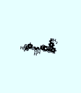 CNS(=O)(=O)c1cccc(OC[C@@H](O)CNC2COC3(CCN(S(=O)(=O)c4ccccc4-c4ccc(CN)cc4)CC3)C2)c1